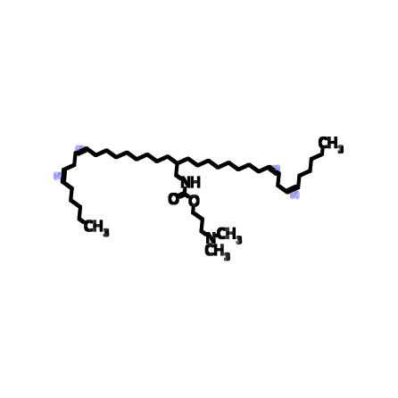 CCCCC/C=C\C/C=C\CCCCCCCCC(CCCCCCCC/C=C\C/C=C\CCCCC)CNC(=O)OCCCN(C)C